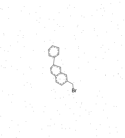 BrCc1ccc2ccc(-c3ccccc3)cc2c1